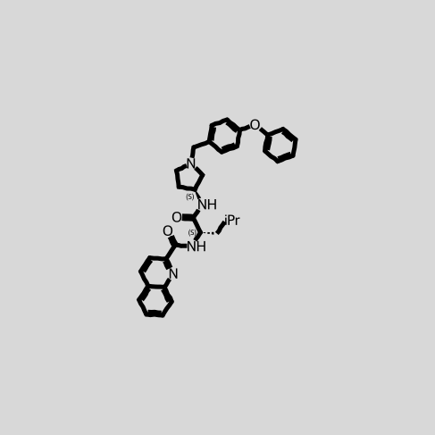 CC(C)C[C@H](NC(=O)c1ccc2ccccc2n1)C(=O)N[C@H]1CCN(Cc2ccc(Oc3ccccc3)cc2)C1